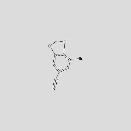 N#Cc1cc(Br)c2c(c1)OCO2